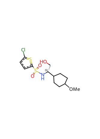 COC1CCC([C@@H](CO)NS(=O)(=O)c2ccc(Cl)s2)CC1